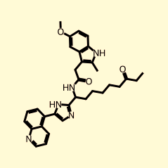 CCC(=O)CCCCCC(NC(=O)Cc1c(C)[nH]c2ccc(OC)cc12)c1ncc(-c2cccc3ncccc23)[nH]1